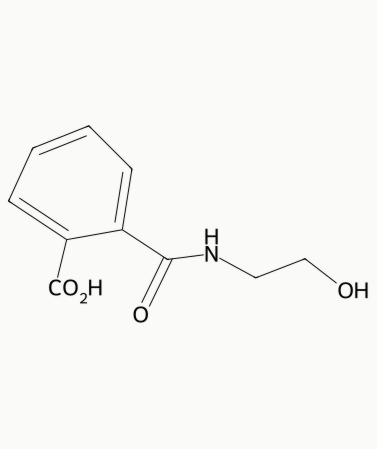 O=C(O)c1ccccc1C(=O)NCCO